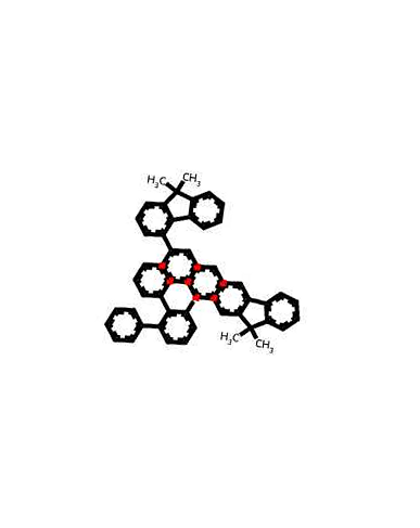 CC1(C)c2ccccc2-c2ccc(N(c3ccc(-c4cccc5c4-c4ccccc4C5(C)C)cc3)c3cccc(-c4ccccc4)c3-c3ccccc3-c3ccccc3)cc21